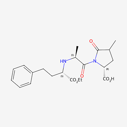 CCOC(=O)[C@H](CCc1ccccc1)N[C@@H](C)C(=O)N1C(=O)C(C)C[C@@H]1C(=O)O